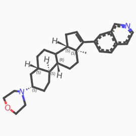 C[C@]12CC[C@H]3C(CC[C@H]4C[C@@H](N5CCOCC5)CC[C@@H]43)[C@@H]1CC=C2c1ccc2ccncc2c1